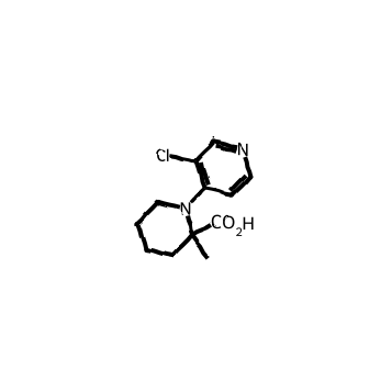 CC1(C(=O)O)CCCCN1c1ccn[c]c1Cl